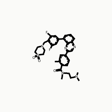 Cc1cc(-c2cnc3cccc(-c4cc(F)c(CN5CCS(=O)(=O)CC5)c(F)c4)c3n2)ccc1C(=O)N(C)CCN(C)C